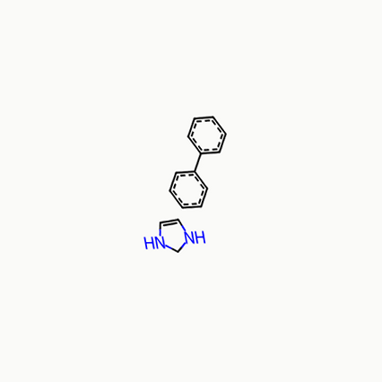 C1=CNCN1.c1ccc(-c2ccccc2)cc1